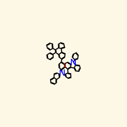 c1ccc(-c2c(-c3ccccc3)c3cc(-c4ccc(N(c5ccc6ccccc6c5)c5ccccc5-c5cccc6c5c5ccccc5n6-c5ccccc5)cc4)ccc3c3ccccc23)cc1